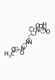 CC12CC(C(=O)N3CCC(n4cc(Cc5ccc6c7c(cccc57)C(=O)N6C5CCC(=O)NC5=O)cn4)CC3)(CCO1)C2